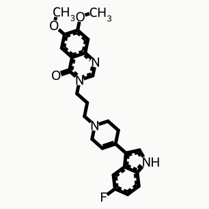 COc1cc2ncn(CCCN3CC=C(c4c[nH]c5ccc(F)cc45)CC3)c(=O)c2cc1OC